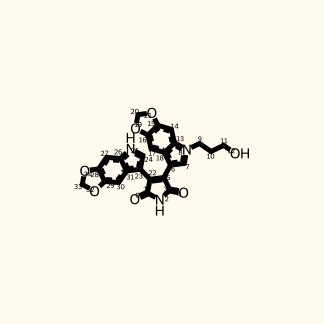 O=C1NC(=O)C(c2cn(CCCO)c3cc4c(cc23)OCO4)=C1c1c[nH]c2cc3c(cc12)OCO3